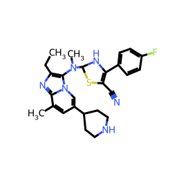 CCc1nc2c(C)cc(C3CCNCC3)cn2c1N(C)C1NC(c2ccc(F)cc2)=C(C#N)S1